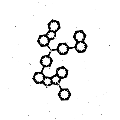 c1ccc(-n2c3ccccc3c3c4c(-c5ccc(N(c6ccc(-c7cccc8ccccc78)cc6)c6cccc7c6sc6ccccc67)cc5)cccc4oc32)cc1